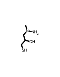 CN(N)CC(O)CS